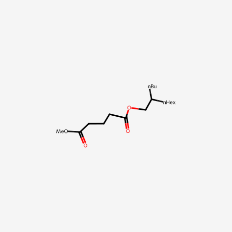 CCCCCCC(CCCC)COC(=O)CCCC(=O)OC